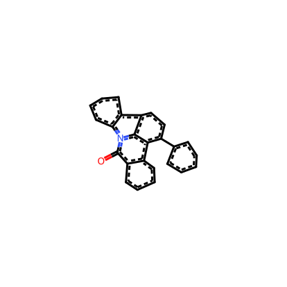 O=c1c2ccccc2c2c(-c3ccccc3)ccc3c4ccccc4n1c32